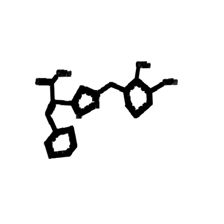 COC(=O)C(=Cc1ccccc1)c1cn(Cc2cccc(OC)c2OC)nn1